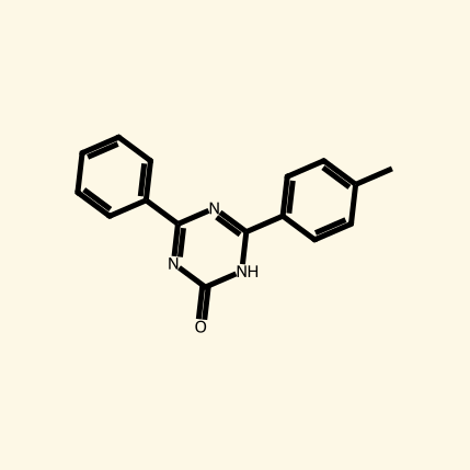 Cc1ccc(-c2nc(-c3ccccc3)nc(=O)[nH]2)cc1